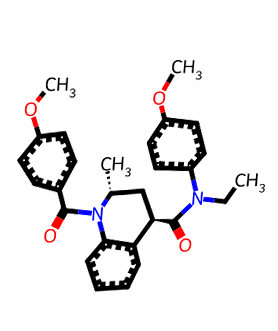 CCN(C(=O)[C@@H]1C[C@@H](C)N(C(=O)c2ccc(OC)cc2)c2ccccc21)c1ccc(OC)cc1